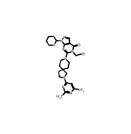 Cc1nc(N2CCC3(CCN(c4nc5c(cnn5C5CCCCO5)c(=O)n4CC(C)C)CC3)C2)cc(C(F)(F)F)n1